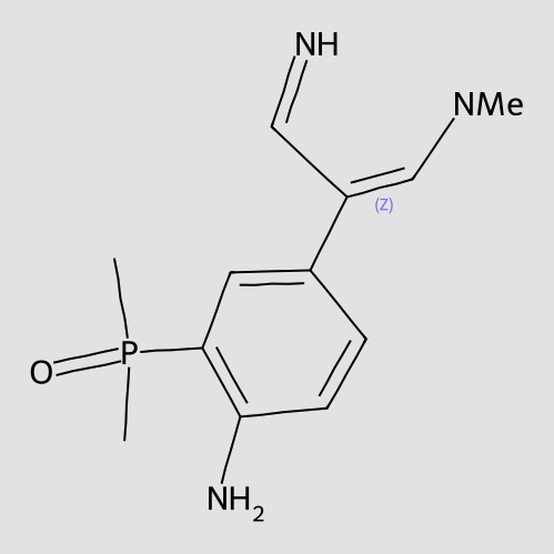 CN/C=C(\C=N)c1ccc(N)c(P(C)(C)=O)c1